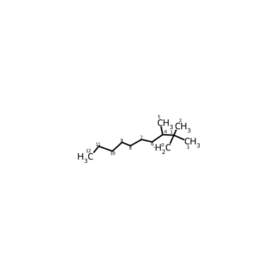 [CH2]C(C)(C)C(C)CCCCCCC